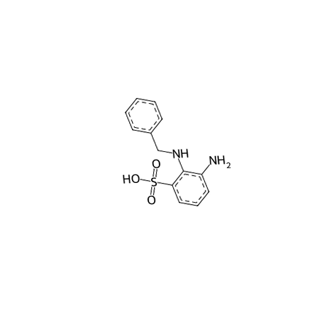 Nc1cccc(S(=O)(=O)O)c1NCc1ccccc1